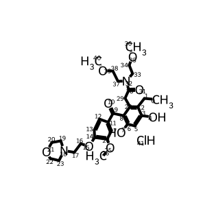 CCc1c(O)cc(O)c(C(=O)c2ccc(OCCN3CCOCC3)c(OC)c2)c1CC(=O)N(CCOC)CCOC.Cl